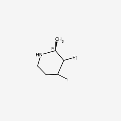 CCC1C(I)CCN[C@H]1C